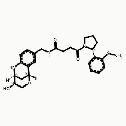 CSc1ccccc1[C@H]1CCCN1C(=O)CCC(=O)NCc1ccc2c(c1)[C@H]1C[C@H](N2)[C@H](O)CO1